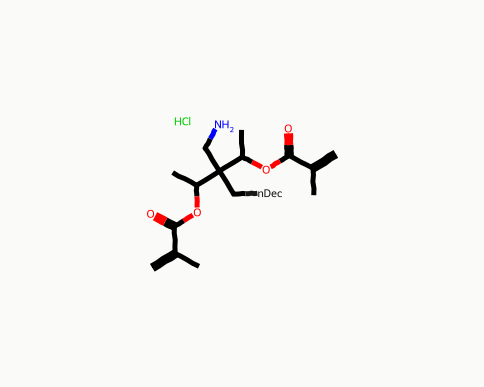 C=C(C)C(=O)OC(C)C(CN)(CCCCCCCCCCC)C(C)OC(=O)C(=C)C.Cl